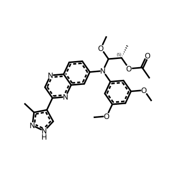 COc1cc(OC)cc(N(c2ccc3ncc(-c4c[nH]nc4C)nc3c2)C(OC)[C@H](C)OC(C)=O)c1